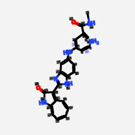 C=C(/C=C(\C=C/N)Nc1ccc2[nH]c(-c3c4cccccc-4[nH]c3=O)nc2c1)C(=O)NC